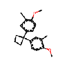 COc1ccc(C2(c3ccc(OC)c(C)c3)CCC2)cc1C